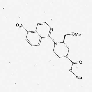 COC[C@H]1CN(C(=O)OC(C)(C)C)CCN1c1nccc2c([N+](=O)[O-])cccc12